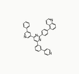 c1ccc(-c2cncc(-c3cc(-c4cccc(-c5ccncc5)c4)nc(-c4ccc(-c5cccc6ncccc56)cc4)n3)c2)cc1